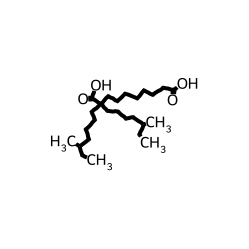 CCC(C)CCCCC(CCCCCCCC(=O)O)(CCCCC(C)CC)C(=O)O